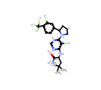 CC(C)(C)CC(Nc1ncnc(N2CCCC2c2ccc(C(F)(F)F)c(F)c2)c1F)C(N)=O